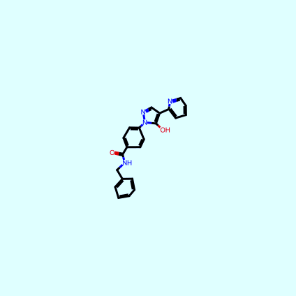 O=C(NCc1ccccc1)c1ccc(-n2ncc(-c3ccccn3)c2O)cc1